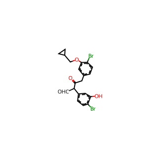 O=CC(C(=O)Cc1ccc(Br)c(OCC2CC2)c1)c1ccc(Br)c(O)c1